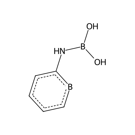 OB(O)Nc1bcccc1